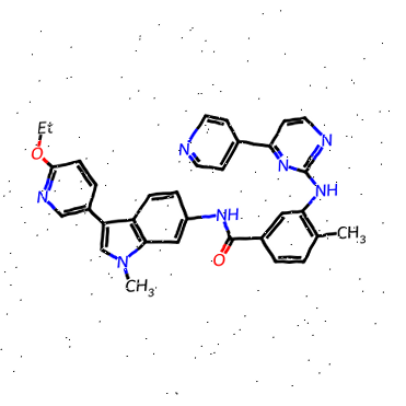 CCOc1ccc(-c2cn(C)c3cc(NC(=O)c4ccc(C)c(Nc5nccc(-c6ccncc6)n5)c4)ccc23)cn1